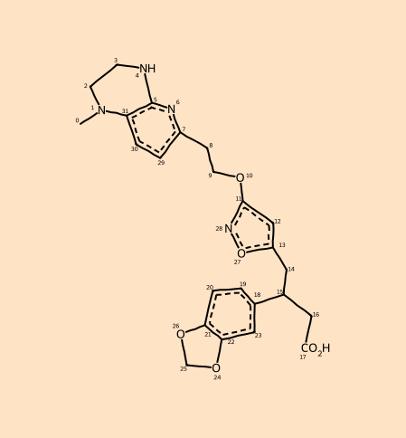 CN1CCNc2nc(CCOc3cc(CC(CC(=O)O)c4ccc5c(c4)OCO5)on3)ccc21